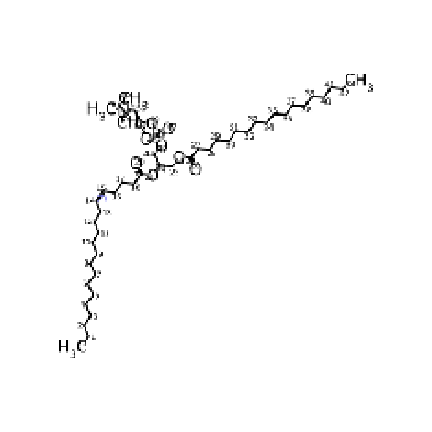 CCCCCCCCCCCCCC/C=C\CCCC(=O)O[C@H](COC(=O)CCCCCCCCCCCCCCCCC)COP(=O)([O-])OCC[N+](C)(C)C